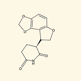 O=C1CC[C@@H](C2COc3ccc4c(c32)OCO4)C(=O)N1